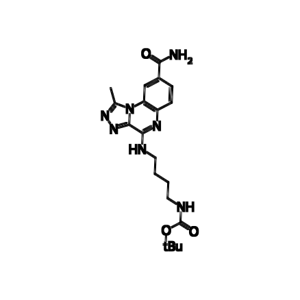 Cc1nnc2c(NCCCCNC(=O)OC(C)(C)C)nc3ccc(C(N)=O)cc3n12